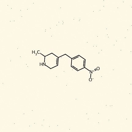 CC1CC(Cc2ccc([N+](=O)[O-])cc2)=CCN1